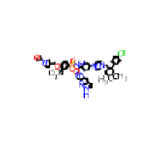 CC1(C)CCC(CN2CCN(c3ccc(C(=O)NS(=O)(=O)c4ccc(OCC5CCN(C6COC6)C5)c([N+](=O)[O-])c4)c(-n4ncc5nc6[nH]ccc6cc54)c3)CC2)=C(c2ccc(Cl)cc2)C1